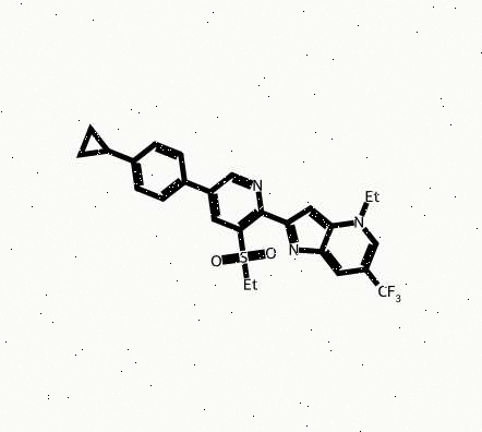 CCn1cc(C(F)(F)F)cc2nc(-c3ncc(-c4ccc(C5CC5)cc4)cc3S(=O)(=O)CC)cc1-2